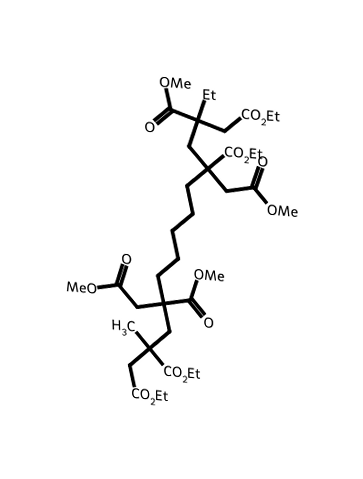 CCOC(=O)CC(C)(CC(CCCCCC(CC(=O)OC)(CC(CC)(CC(=O)OCC)C(=O)OC)C(=O)OCC)(CC(=O)OC)C(=O)OC)C(=O)OCC